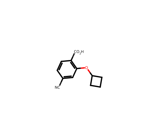 N#Cc1ccc(C(=O)O)c(OC2CCC2)c1